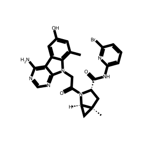 Cc1cc(O)cc2c3c(N)ncnc3n(CC(=O)N3[C@H](C(=O)Nc4cccc(Br)n4)C[C@@]4(C)C[C@@H]34)c12